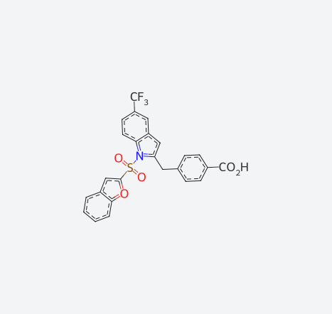 O=C(O)c1ccc(Cc2cc3cc(C(F)(F)F)ccc3n2S(=O)(=O)c2cc3ccccc3o2)cc1